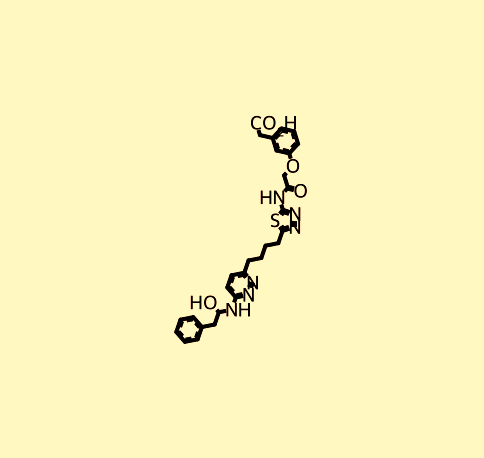 O=C(O)Cc1cccc(OCC(=O)Nc2nnc(CCCCc3ccc(NC(O)Cc4ccccc4)nn3)s2)c1